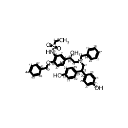 CCS(=O)(=O)Nc1cc([C@@H](O)CN(Cc2ccccc2)CC(c2ccc(O)cc2)c2ccc(O)cc2)ccc1OCc1ccccc1